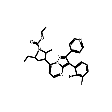 CCOC(=O)N1C(CC)CC(c2ccnc3c(-c4cccc(F)c4F)c(-c4ccncc4)nn23)C1C